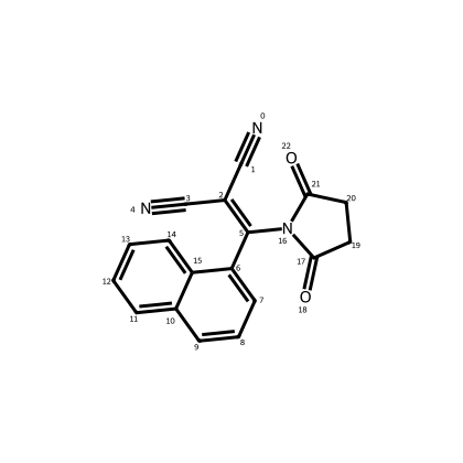 N#CC(C#N)=C(c1cccc2ccccc12)N1C(=O)CCC1=O